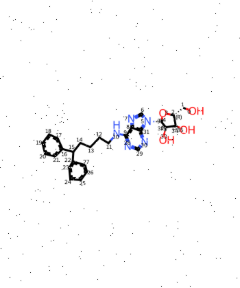 OC[C@H]1O[C@@H](n2cnc3c(NCCCCC(c4ccccc4)c4ccccc4)ncnc32)[C@H](O)[C@@H]1O